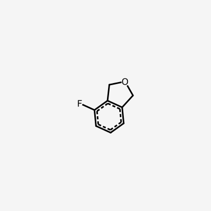 Fc1cccc2c1COC2